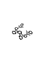 c1cc(-c2cnc3ccccc3n2)cc(-n2c3ccccc3c3c4c5ccccc5n(-c5cccc(-c6cnc7ccccc7n6)c5)c4ccc32)c1